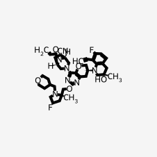 C#Cc1c(F)ccc2c1N([C@@H]1COc3c(nc(OC[C@]4(C)C[C@@H](F)CN4CC4CCOCC4)nc3N3C[C@H]4CC(C#N)[C@@H](C3)N4C(=O)C=C)C1)C[C@@](C)(O)C2